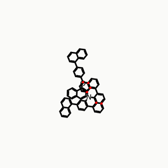 c1ccc(-c2ccc(-c3cccc4ccccc34)cc2N(c2ccc(-c3ccc(-c4cccc5ccccc45)cc3)cc2)c2ccccc2-c2cccc3oc4c5ccccc5ccc4c23)cc1